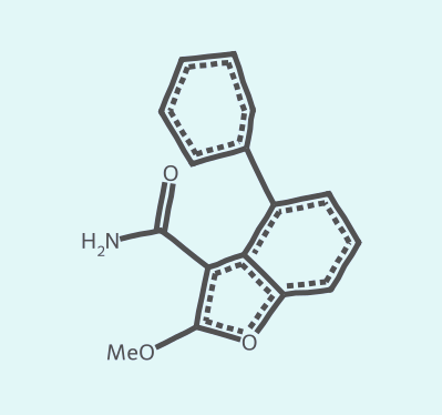 COc1oc2cccc(-c3ccccc3)c2c1C(N)=O